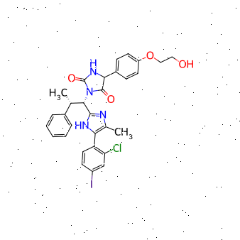 Cc1nc([C@H]([C@@H](C)c2ccccc2)N2C(=O)NC(c3ccc(OCCO)cc3)C2=O)[nH]c1-c1ccc(I)cc1Cl